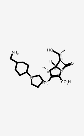 C[C@@H](O)[C@H]1C(=O)N2C(C(=O)O)=C(S[C@@H]3CCN(C4CCC(CN)CC4)C3)[C@H](C)[C@H]12